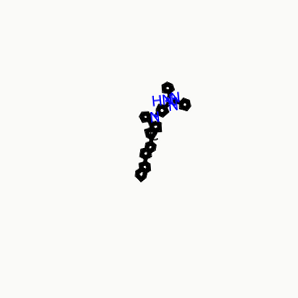 c1ccc(C2=NC(c3ccccc3)NC(c3ccc(-n4c5ccccc5c5c6ccc(-c7ccc8cc(-c9ccc%10ccccc%10c9)ccc8c7)cc6ccc54)cc3)=N2)cc1